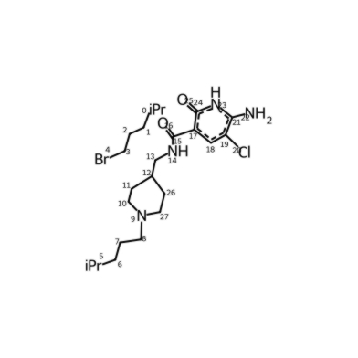 CC(C)CCCBr.CC(C)CCCN1CCC(CNC(=O)c2cc(Cl)c(N)[nH]c2=O)CC1